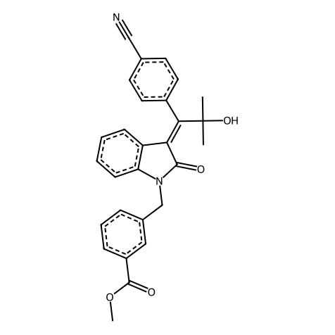 COC(=O)c1cccc(CN2C(=O)/C(=C(/c3ccc(C#N)cc3)C(C)(C)O)c3ccccc32)c1